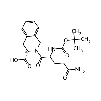 CC(C)(C)OC(=O)NC(CCC(N)=O)C(=O)N1Cc2ccccc2C[C@H]1C(=O)O